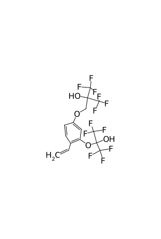 C=Cc1ccc(OCC(O)(C(F)(F)F)C(F)(F)F)cc1OC(O)(C(F)(F)F)C(F)(F)F